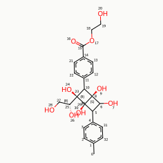 Cc1ccc(C2C(O)[C@@]3(O)C(c4ccc(C(=O)OCCO)cc4)[C@@](O)([C@H](O)CO)[C@@]23O)cc1